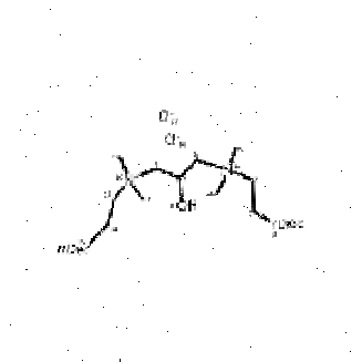 CCCCCCCCCCCC[N+](C)(C)CC(O)C[N+](C)(C)CCCCCCCCCCCC.[Cl-].[Cl-]